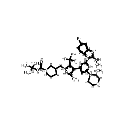 CNc1nc2cc(F)ccc2n1-c1nc(-c2c(C)nn(CC3CCCN(C(=O)OC(C)(C)C)C3)c2C(F)(F)F)cc(N2CCOC[C@H]2C)n1